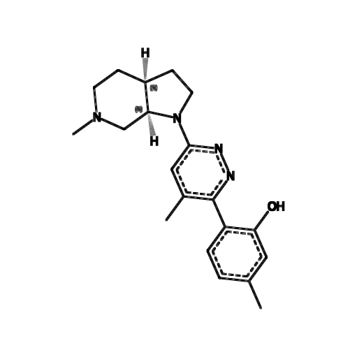 Cc1ccc(-c2nnc(N3CC[C@@H]4CCN(C)C[C@@H]43)cc2C)c(O)c1